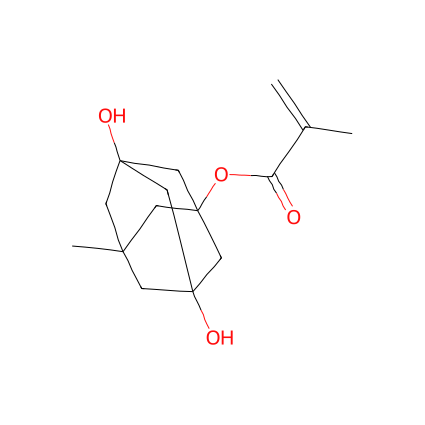 C=C(C)C(=O)OC12CC3(C)CC(O)(CC(O)(C3)C1)C2